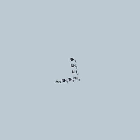 N.N.N.N.N.N.[Mn]